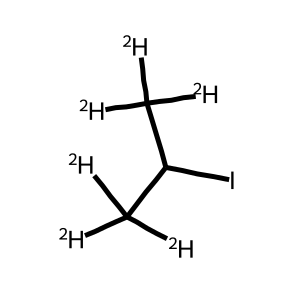 [2H]C([2H])([2H])C(I)C([2H])([2H])[2H]